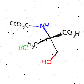 CCOC(=O)N[C@@](C)(CO)C(=O)O.Cl